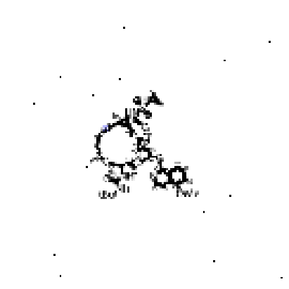 CC[C@@H]1C[C@@H](C)CC/C=C\[C@@H]2C[C@@]2(C(=O)NS(=O)(=O)C2CC2)NC(=O)[C@@H]2C[C@@H](Oc3nccc4c(OC)cccc34)CN2C(=O)[C@H]1NC(=O)NC(C)(C)C